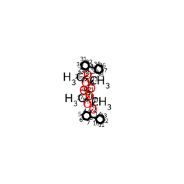 CC(Oc1ccccc1-c1ccccc1)OC(C)OS(=O)OC(C)OC(C)Oc1ccccc1-c1ccccc1